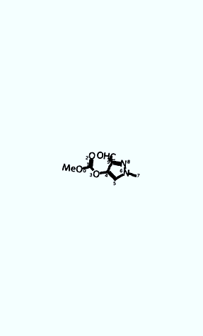 COC(=O)Oc1cn(C)nc1C=O